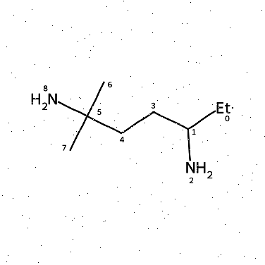 C[CH]C(N)CCC(C)(C)N